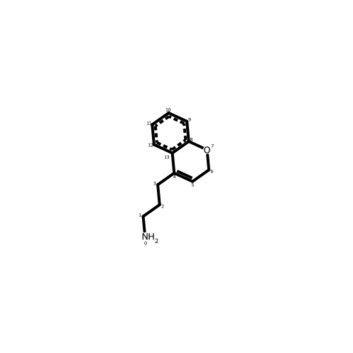 NCCCC1=CCOc2ccccc21